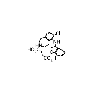 Clc1ccc2c(c1NC1COc3ccccc31)CCNCC2.O=C(O)CCC(=O)O